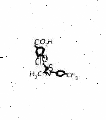 Cc1nc(-c2ccc(C(F)(F)F)cc2)sc1COc1ccc(CC(=O)O)cc1Cl